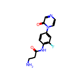 NCCC(=O)Nc1ccc(-n2ccncc2=O)cc1F